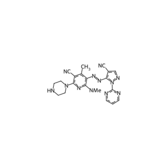 CNc1nc(N2CCNCC2)c(C#N)c(C)c1/N=N/c1c(C#N)cnn1-c1ncccn1